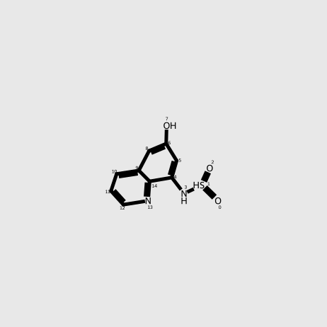 O=[SH](=O)Nc1cc(O)cc2cccnc12